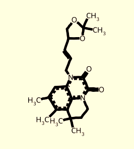 Cc1cc2c3c(c1C)C(C)(C)CCn3c(=O)c(=O)n2CC=CC1COC(C)(C)O1